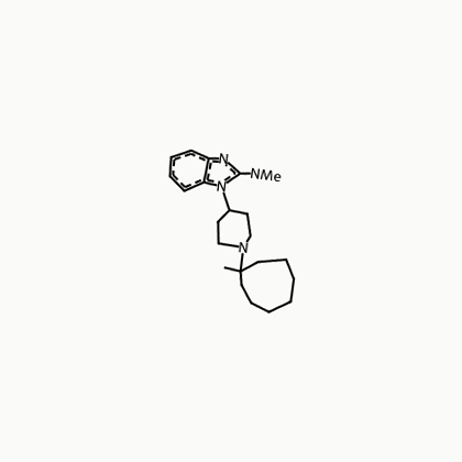 CNc1nc2ccccc2n1C1CCN(C2(C)CCCCCCC2)CC1